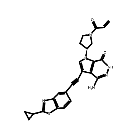 C=CC(=O)N1CC[C@H](n2cc(C#Cc3ccc4sc(C5CC5)nc4c3)c3c(N)n[nH]c(=O)c32)C1